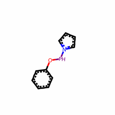 c1ccc(OPn2cccc2)cc1